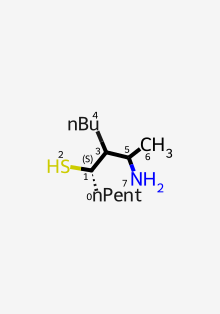 CCCCC[C@H](S)C(CCCC)C(C)N